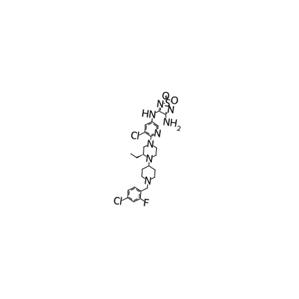 CC[C@H]1CN(c2ncc(NC3=NS(=O)(=O)N=C3N)cc2Cl)CCN1C1CCN(Cc2ccc(Cl)cc2F)CC1